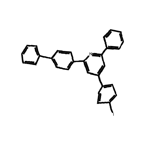 Ic1ccc(-c2cc(-c3ccccc3)nc(-c3ccc(-c4ccccc4)cc3)c2)cc1